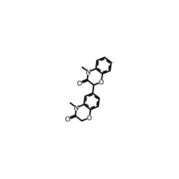 CN1C(=O)COc2ccc(C3Oc4c[c]ccc4N(C)C3=O)cc21